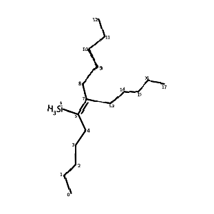 CCCCCC([SiH3])=C(CCCCC)CCCCC